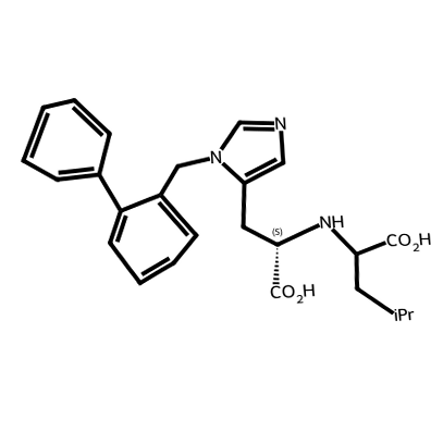 CC(C)CC(N[C@@H](Cc1cncn1Cc1ccccc1-c1ccccc1)C(=O)O)C(=O)O